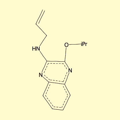 C=CCNc1nc2ccccc2nc1OC(C)C